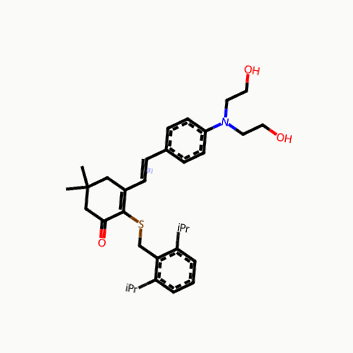 CC(C)c1cccc(C(C)C)c1CSC1=C(/C=C/c2ccc(N(CCO)CCO)cc2)CC(C)(C)CC1=O